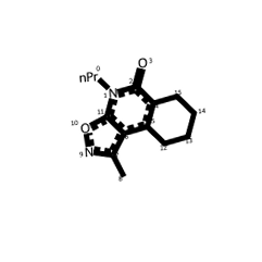 CCCn1c(=O)c2c(c3c(C)noc31)CCCC2